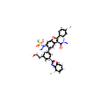 CNC(=O)c1c(-c2ccc(F)cc2)oc2cc(N(C)S(C)(=O)=O)c(-c3cc(CCO)cc(-c4nc5c(F)cccc5o4)c3)cc12